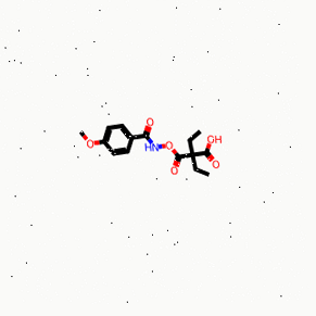 CCC(CC)(C(=O)O)C(=O)ONC(=O)c1ccc(OC)cc1